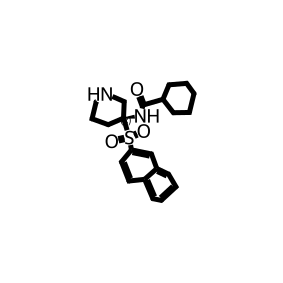 O=C(N[C@@]1(S(=O)(=O)c2ccc3ccccc3c2)CCCNC1)C1CCCCC1